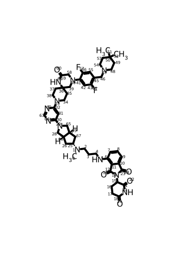 CN(CCCNc1cccc2c1C(=O)N(C1CCC(=O)NC1=O)C2=O)[C@@H]1C[C@@H]2CN(c3cc(N4CCC5(CC4)CN(c4cc(F)c(CN6CCC(C)(C)CC6)cc4F)CC(=O)N5)ncn3)C[C@@H]2C1